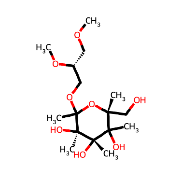 COC[C@H](COC1(C)O[C@](C)(CO)C(C)(O)[C@](C)(O)[C@@]1(C)O)OC